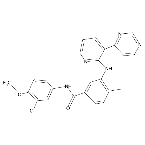 Cc1ccc(C(=O)Nc2ccc(OC(F)(F)F)c(Cl)c2)cc1Nc1ncccc1-c1ccncn1